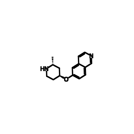 C[C@@H]1C[C@@H](Oc2ccc3cnccc3c2)CCN1